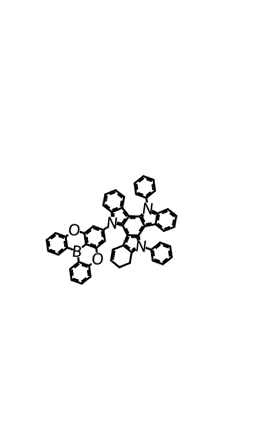 C1=Cc2c(n(-c3ccccc3)c3c2c2c(c4ccccc4n2-c2cc4c5c(c2)Oc2ccccc2B5c2ccccc2O4)c2c3c3ccccc3n2-c2ccccc2)CC1